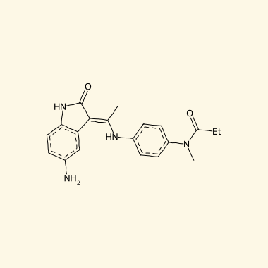 CCC(=O)N(C)c1ccc(NC(C)=C2C(=O)Nc3ccc(N)cc32)cc1